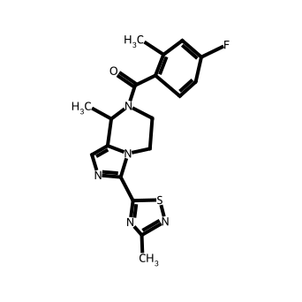 Cc1nsc(-c2ncc3n2CCN(C(=O)c2ccc(F)cc2C)C3C)n1